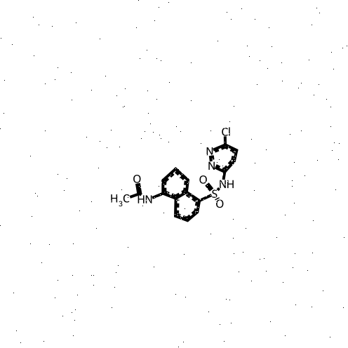 CC(=O)Nc1cccc2c(S(=O)(=O)Nc3ccc(Cl)nn3)cccc12